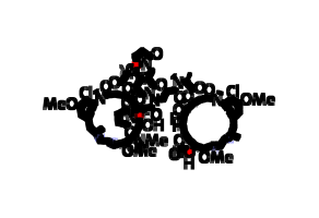 CN[C@]1(O)CC(O)[C@@H](C)[C@H]2O[C@@]2(C)[C@@H](OC(=O)[C@H](C)N(C)C(=O)CCN(C(=O)CCN2C(=O)C=CC2=O)N(CCC(=O)N(C)[C@@H](C)C(=O)O[C@H]2CC(=O)N(C)c3cc(cc(OC)c3Cl)C/C(C)=C/C=C/[C@@H](OC)[C@@]3(O)CC(OC(=O)N3)[C@@H](I)[C@H]3O[C@@]23C)C(=O)CCN2C(=O)C=CC2=O)CC(=O)N(C)c2cc(cc(OC)c2Cl)C/C(C)=C/C=C/[C@H]1OC